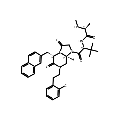 CN[C@@H](C)C(=O)N[C@H](C(=O)N1CC(=O)N2[C@@H]1CN(CCc1ccccc1Cl)C(=O)[C@@H]2Cc1ccc2ccccc2c1)C(C)(C)C